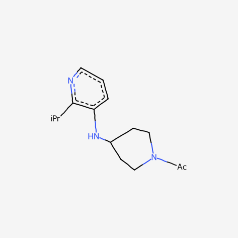 CC(=O)N1CCC(Nc2cccnc2C(C)C)CC1